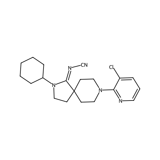 N#C/N=C1/N(C2CCCCC2)CCC12CCN(c1ncccc1Cl)CC2